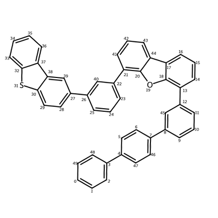 c1ccc(-c2ccc(-c3cccc(-c4cccc5c4oc4c(-c6cccc(-c7ccc8sc9ccccc9c8c7)c6)cccc45)c3)cc2)cc1